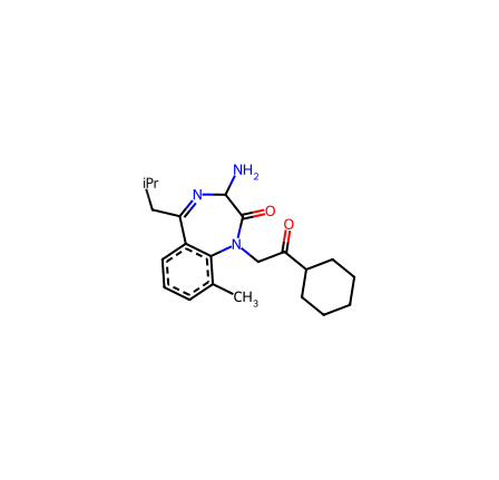 Cc1cccc2c1N(CC(=O)C1CCCCC1)C(=O)C(N)N=C2CC(C)C